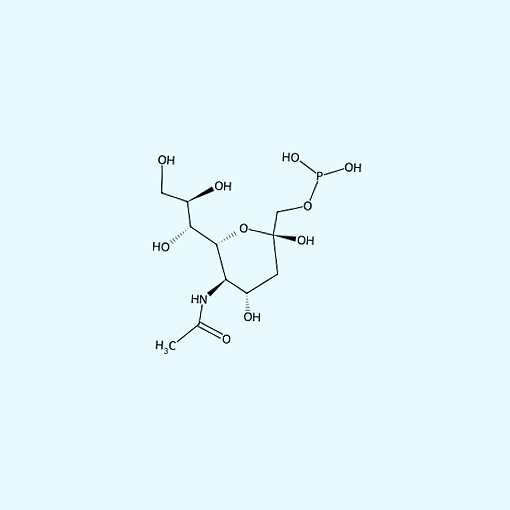 CC(=O)N[C@H]1[C@H]([C@H](O)[C@H](O)CO)O[C@](O)(COP(O)O)C[C@@H]1O